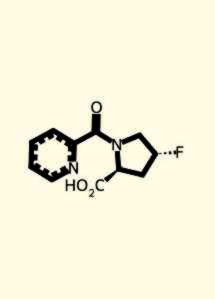 O=C(O)[C@@H]1C[C@@H](F)CN1C(=O)c1ccccn1